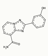 NC(=O)c1[c]ccn2nc(-c3cccc(O)c3)nc12